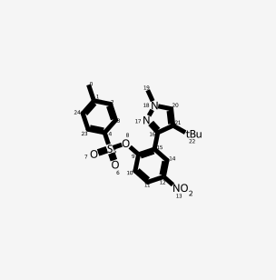 Cc1ccc(S(=O)(=O)Oc2ccc([N+](=O)[O-])cc2-c2nn(C)cc2C(C)(C)C)cc1